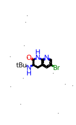 CC(C)(C)NC1Cc2cc(Br)cnc2NC1=O